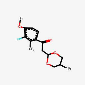 CCCC1COC(CC(=O)c2ccc(OCC)c(F)c2C(F)(F)F)OC1